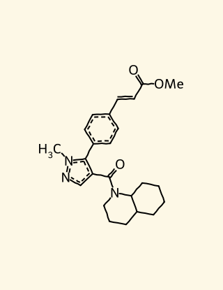 COC(=O)C=Cc1ccc(-c2c(C(=O)N3CCCC4CCCCC43)cnn2C)cc1